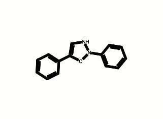 C1=C(c2ccccc2)ON(c2ccccc2)N1